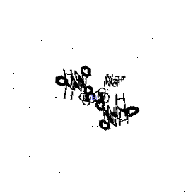 O=S(=O)([O-])c1cc(-c2nc(Nc3ccccc3)nc(Nc3ccccc3)n2)ccc1/C=C/c1ccc(-c2nc(Nc3ccccc3)nc(Nc3ccccc3)n2)cc1S(=O)(=O)[O-].[Na+].[Na+]